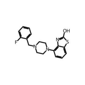 Oc1nc2c(N3CCN(Cc4ccccc4F)CC3)cccc2s1